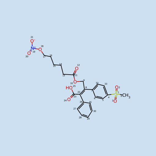 CS(=O)(=O)c1ccc(/C(COC(=O)CCCCCO[N+](=O)[O-])=C(/C(=O)O)c2ccccc2)cc1